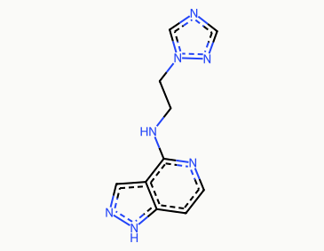 c1cc2[nH]ncc2c(NCCn2cncn2)n1